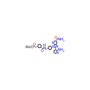 COC(=O)Cc1cccc(C(=O)NCc2ccc(-n3c(-c4cccnc4N)nc4cc(C(N)=O)cnc43)cc2)c1